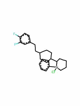 Fc1ccc(CCC2CCC(C3CCCC[Si]3(Cl)c3ccccc3)CC2)cc1F